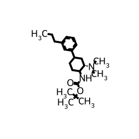 CCCc1cccc(C2CCC(NC(=O)OC(C)(C)C)[C@@H](N(C)C)C2)c1